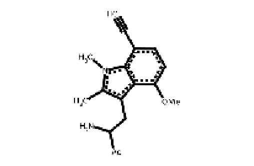 C#Cc1ccc(OC)c2c(CC(N)C(C)=O)c(C)n(C)c12